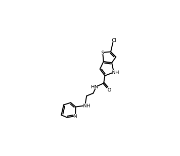 O=C(NCCNc1ccccn1)c1cc2sc(Cl)cc2[nH]1